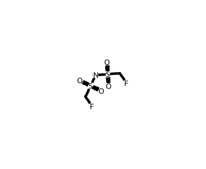 O=S(=O)(CF)[N]S(=O)(=O)CF